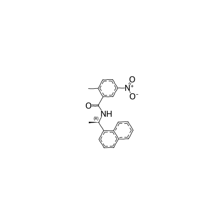 Cc1ccc([N+](=O)[O-])cc1C(=O)N[C@H](C)c1cccc2ccccc12